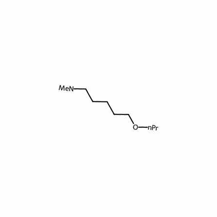 CCCOCCCCCNC